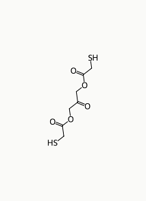 O=C(COC(=O)CS)COC(=O)CS